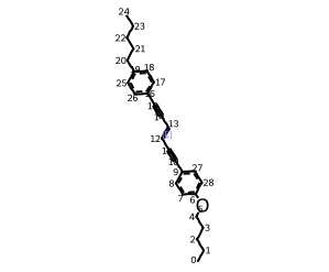 CCCCCOc1ccc(C#C/C=C/C#Cc2ccc(CCCCC)cc2)cc1